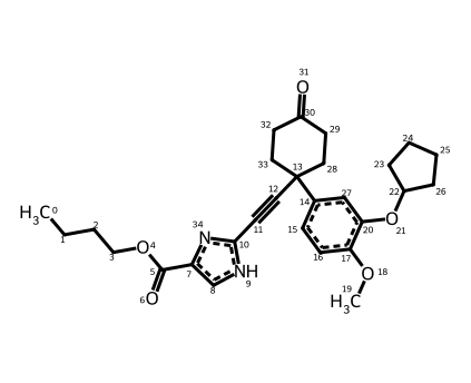 CCCCOC(=O)c1c[nH]c(C#CC2(c3ccc(OC)c(OC4CCCC4)c3)CCC(=O)CC2)n1